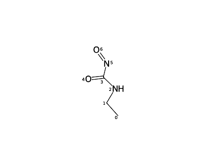 CCNC(=O)N=O